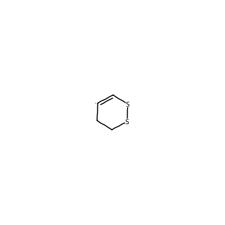 [C]1=CSSCC1